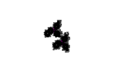 Cc1ccc(P(c2[c]c3c(cc2)CCCC3)c2ccc(C)cc2)cc1.Cc1ccc(P(c2[c]c3c(cc2)CCCC3)c2ccc(C)cc2)cc1